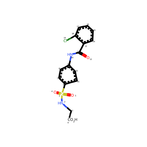 O=C(O)CNS(=O)(=O)c1ccc(NC(=O)c2ccccc2Cl)cc1